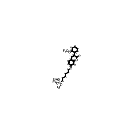 CCO[Si](CCCCCCOc1ccc2cc(-c3ccccc3OC(F)(F)F)c(=O)oc2c1)(OCC)OCC